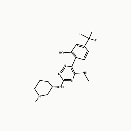 CNc1nc(N[C@@H]2CCCN(C)C2)nnc1-c1ccc(C(F)(F)F)cc1O